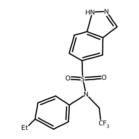 CCc1ccc(N(CC(F)(F)F)S(=O)(=O)c2ccc3[nH]ncc3c2)cc1